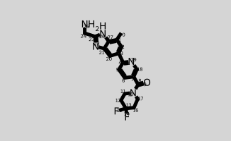 Cc1cc(-c2ccc(C(=O)N3CCC(F)(F)CC3)cn2)cc2nc(CN)[nH]c12